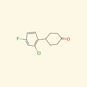 O=C1CCC(c2ccc(F)cc2Cl)CC1